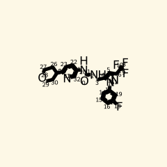 O=C(NCc1cc(C(F)(F)F)nn1-c1cccc(F)c1)Nc1ccc(C2CCOCC2)nc1